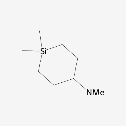 CNC1CC[Si](C)(C)CC1